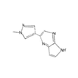 Cn1cc(-c2cnc3[nH]ccc3n2)cn1